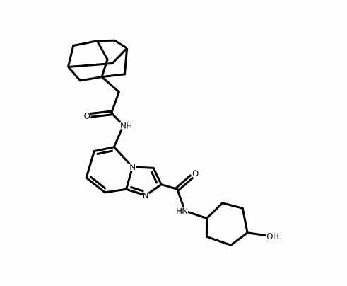 O=C(CC12CC3CC(CC(C3)C1)C2)Nc1cccc2nc(C(=O)NC3CCC(O)CC3)cn12